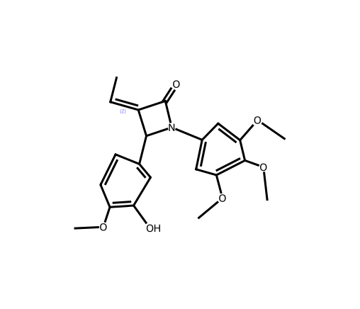 C/C=C1\C(=O)N(c2cc(OC)c(OC)c(OC)c2)C1c1ccc(OC)c(O)c1